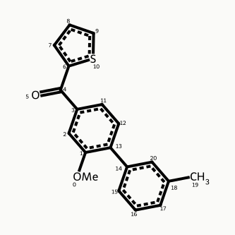 COc1cc(C(=O)c2cccs2)ccc1-c1cccc(C)c1